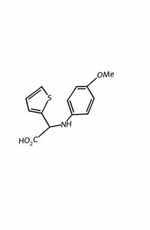 COc1ccc(NC(C(=O)O)c2cccs2)cc1